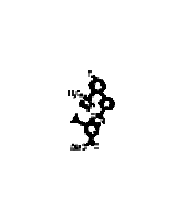 COC(=O)c1cc(C2CC2)c2oc(-c3cccc(-c4ccc(F)cc4-c4nncn4C)c3)nc2c1